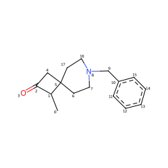 CC1C(=O)CC12CCN(Cc1ccccc1)CC2